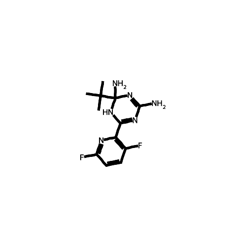 CC(C)(C)C1(N)N=C(N)N=C(c2nc(F)ccc2F)N1